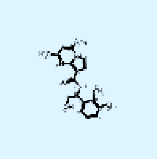 Cc1cc(C)n2ccc(C(=O)NC(CO)c3cccc(C)c3C)c2n1